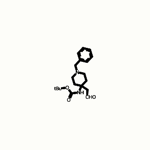 CC(C)(C)OC(=O)NC1(CC=O)CCN(Cc2ccccc2)CC1